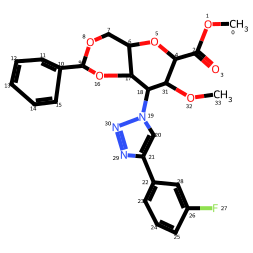 COC(=O)C1OC2COC(c3ccccc3)OC2C(n2cc(-c3cccc(F)c3)nn2)C1OC